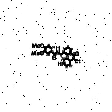 CCN(C(=O)c1cccc(CNC(=O)c2ccc(OC)c(OC)c2)c1)C1CCNCC1